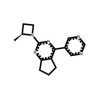 C[C@H]1CCN1c1nc2c(c(-c3cncnc3)n1)CCC2